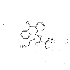 C=C(C)C(=O)OC1(CCCS)c2ccccc2C(=O)c2ccccc21